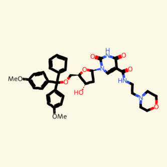 COc1ccc(C(OC[C@H]2O[C@@H](n3cc(C(=O)NCCN4CCOCC4)c(=O)[nH]c3=O)C[C@@H]2O)(c2ccccc2)c2ccc(OC)cc2)cc1